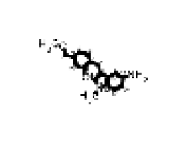 COCc1ccc(Cc2cn(C)c3ccc(N)cc23)c(O)c1